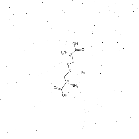 N[C@@H](CSSC[C@H](N)C(=O)O)C(=O)O.[Fe]